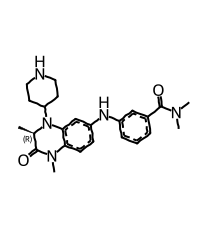 C[C@@H]1C(=O)N(C)c2ccc(Nc3cccc(C(=O)N(C)C)c3)cc2N1C1CCNCC1